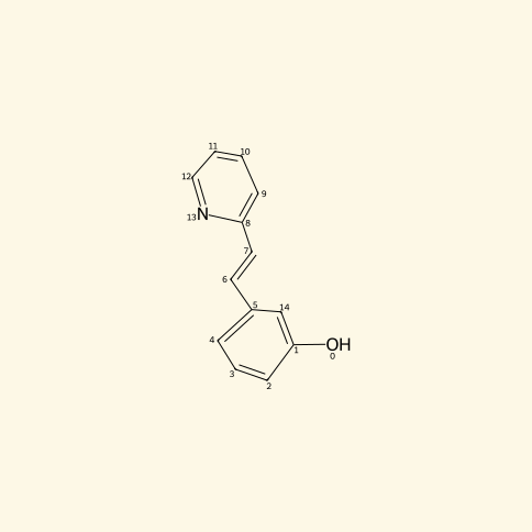 Oc1cccc(C=Cc2ccccn2)c1